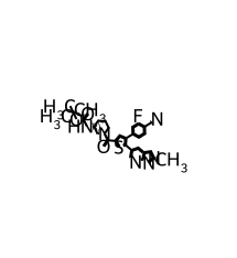 Cn1cc2cc(-c3sc(C(=O)N4CCC[C@@H](NC(=O)OC(C)(C)C)C4)cc3-c3ccc(C#N)c(F)c3)cnc2n1